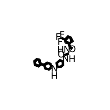 O=C(CNC(=O)c1cccc(C(F)(F)F)c1)NC1CCC(NC2CC=C(c3ccccc3)CC2)CC1